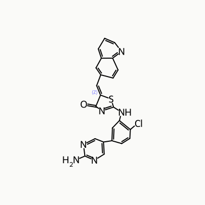 Nc1ncc(-c2ccc(Cl)c(NC3=NC(=O)/C(=C/c4ccc5ncccc5c4)S3)c2)cn1